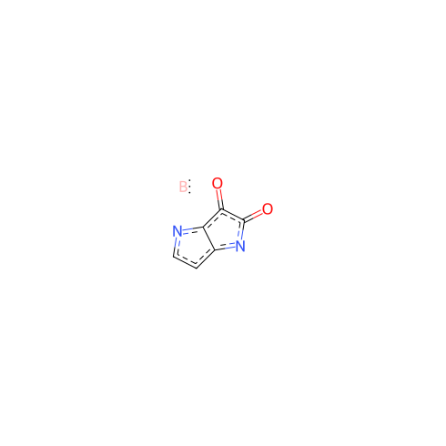 O=c1nc2ccnc-2c1=O.[B]